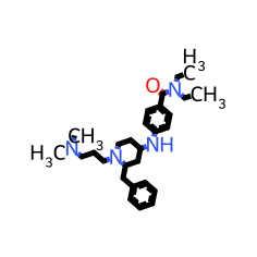 CCN(CC)C(=O)c1ccc(NC2CCN(CCCN(C)C)C(Cc3ccccc3)C2)cc1